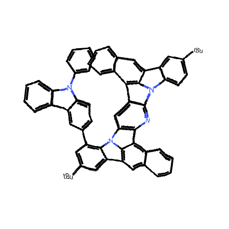 CC(C)(C)c1ccc2c(c1)c1cc3ccccc3c3c4cc5c(nc4n2c13)c1c2ccccc2cc2c3cc(C(C)(C)C)cc(-c4ccc6c(c4)c4ccccc4n6-c4ccccc4)c3n5c21